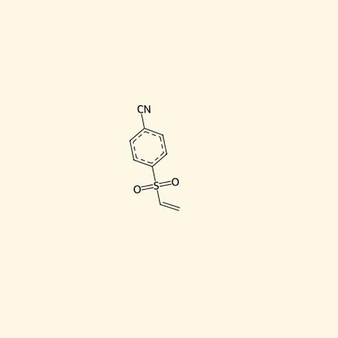 C=CS(=O)(=O)c1ccc(C#N)cc1